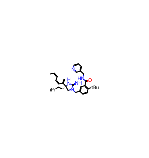 C=C(/C=C\C=C/C)[C@]1(CCC(C)C)CN(Cc2ccc(C(C)(C)C)c(C(=O)NCc3cccnc3)c2)C(=N)N1